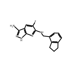 Nc1n[nH]c2nc(NCc3cccc4c3CCC4)c(F)cc12